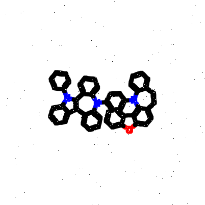 C1=Cc2ccc3oc4ccccc4c3c2N(c2ccc(N3c4ccccc4-c4c(n(-c5ccccc5)c5ccccc45)-c4ccccc43)cc2)c2ccccc21